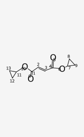 O=C(/C=C/C(=O)OC1CC1)OC1CC1